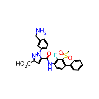 CS(=O)(=O)c1c(-c2ccccc2)ccc(NC(=O)c2cc(C(=O)O)nn2-c2cccc(CN)c2)c1F